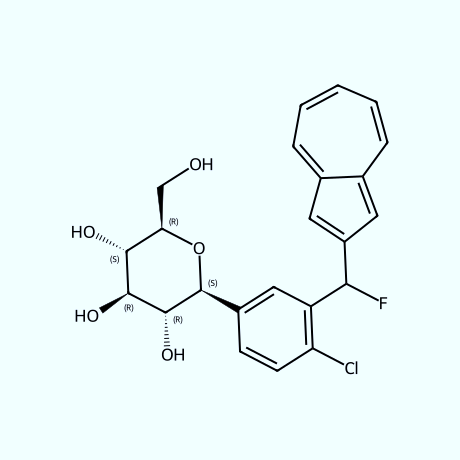 OC[C@H]1O[C@@H](c2ccc(Cl)c(C(F)c3cc4cccccc-4c3)c2)[C@H](O)[C@@H](O)[C@@H]1O